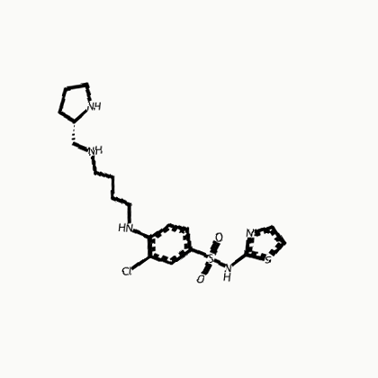 O=S(=O)(Nc1nccs1)c1ccc(NCCCCNC[C@@H]2CCCN2)c(Cl)c1